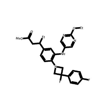 CCOc1ncc(Nc2cc(C(CC)CC(=O)OC)ccc2N2CC(F)(c3ccc(F)cc3)C2)cn1